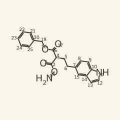 NOC(=O)[C@H](CCc1ccc2[nH]ccc2c1)C(=O)OCc1ccccc1